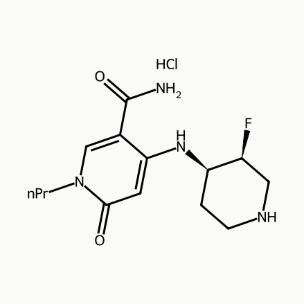 CCCn1cc(C(N)=O)c(N[C@@H]2CCNC[C@@H]2F)cc1=O.Cl